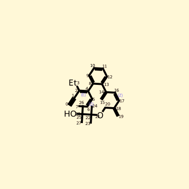 C#C/C(CC)=C(\C=C/C)c1ccccc1C(=C)/C=C\C(=C)COC(C)(C)C(C)(C)O